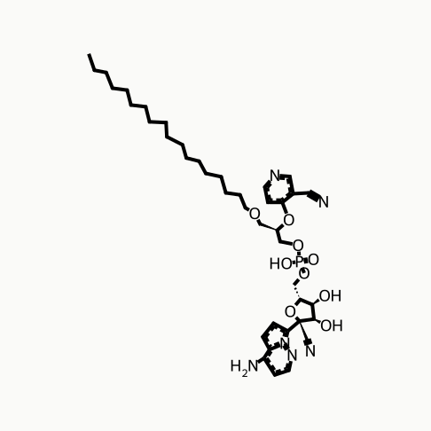 CCCCCCCCCCCCCCCCCCOC[C@H](COP(=O)(O)OC[C@H]1O[C@@](C#N)(c2ccc3c(N)ccnn23)[C@H](O)[C@@H]1O)Oc1ccncc1C#N